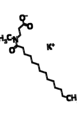 CCCCCCCCCCCCCC(=O)N(C)CCC(=O)[O-].[K+]